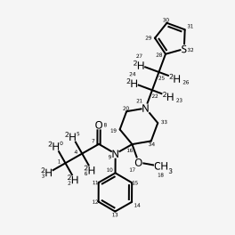 [2H]C([2H])([2H])C([2H])([2H])C(=O)N(c1ccccc1)C1(OC)CCN(C([2H])([2H])C([2H])([2H])c2cccs2)CC1